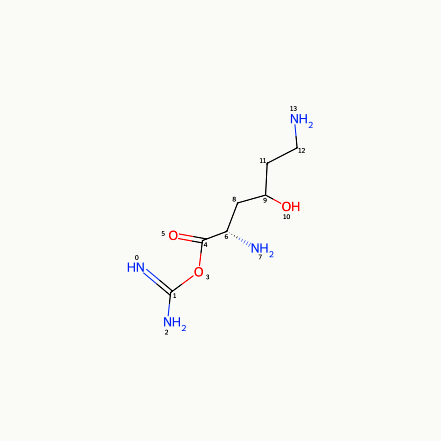 N=C(N)OC(=O)[C@@H](N)CC(O)CCN